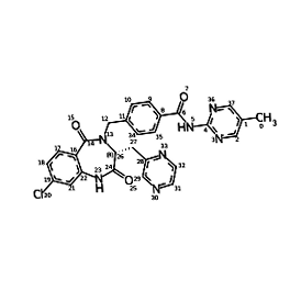 Cc1cnc(NC(=O)c2ccc(CN3C(=O)c4ccc(Cl)cc4NC(=O)[C@H]3Cc3cnccn3)cc2)nc1